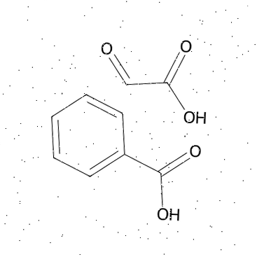 O=C(O)c1ccccc1.O=CC(=O)O